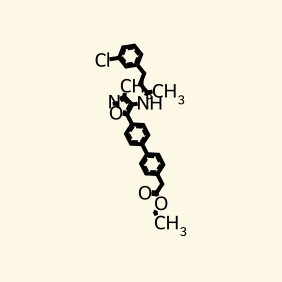 CCOC(=O)Cc1ccc(-c2ccc(-c3onc(C)c3NC(C)CCc3cccc(Cl)c3)cc2)cc1